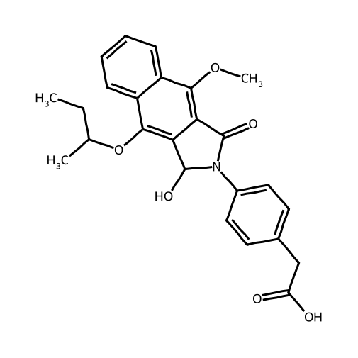 CCC(C)Oc1c2c(c(OC)c3ccccc13)C(=O)N(c1ccc(CC(=O)O)cc1)C2O